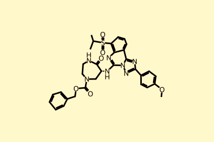 COc1ccc(-c2nc3c4cccc(S(=O)(=O)C(C)C)c4nc(N[C@@H]4CN(C(=O)OCc5ccccc5)CCNC4=O)n3n2)cc1